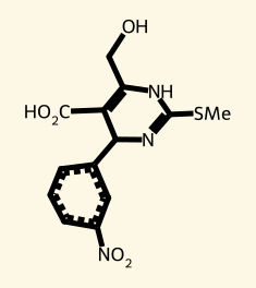 CSC1=NC(c2cccc([N+](=O)[O-])c2)C(C(=O)O)=C(CO)N1